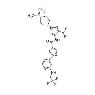 C=C(C)[C@H]1CC[C@@H](n2cc(NC(=O)c3coc(-c4ccnc(NCC(F)(F)F)c4)n3)c(C(F)F)n2)CC1